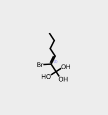 CCC/C=C(\Br)C(O)(O)O